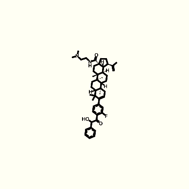 C=C(C)[C@@H]1CC[C@]2(C(=O)NCCN(C)C)CC[C@]3(C)[C@H](CC[C@@H]4[C@@]5(C)CC=C(c6ccc(C(=O)C(O)c7ccccc7)c(F)c6)C(C)(C)[C@@H]5CC[C@]43C)[C@@H]12